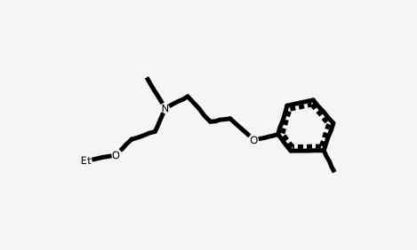 CCOCCN(C)CCCOc1cccc(C)c1